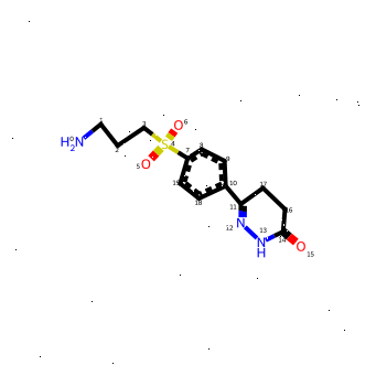 NCCCS(=O)(=O)c1ccc(C2=NNC(=O)CC2)cc1